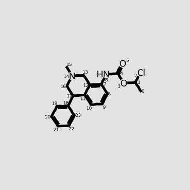 CC(Cl)OC(=O)Nc1cccc2c1CN(C)CC2c1ccccc1